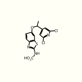 CC(Oc1ccc2nc(NC(=O)O)sc2c1)c1cc(Cl)nc(Cl)c1